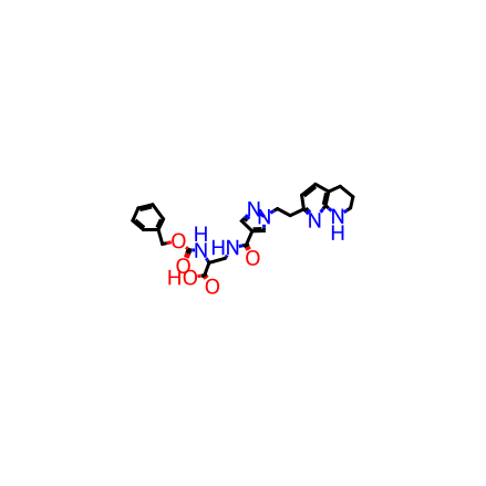 O=C(NC(CNC(=O)c1cnn(CCc2ccc3c(n2)NCCC3)c1)C(=O)O)OCc1ccccc1